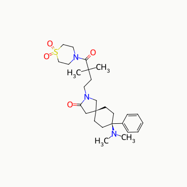 CN(C)[C@]1(c2ccccc2)CC[C@@]2(CC1)CC(=O)N(CCC(C)(C)C(=O)N1CCS(=O)(=O)CC1)C2